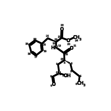 CCCC[C@H](CN(O)C=O)C(=O)N[C@@H](Cc1ccccc1)C(=O)OC